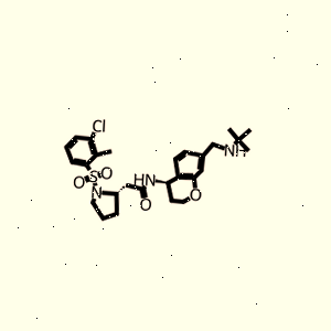 Cc1c(Cl)cccc1S(=O)(=O)N1CCC[C@H]1CC(=O)N[C@@H]1CCOc2cc(CNC(C)(C)C)ccc21